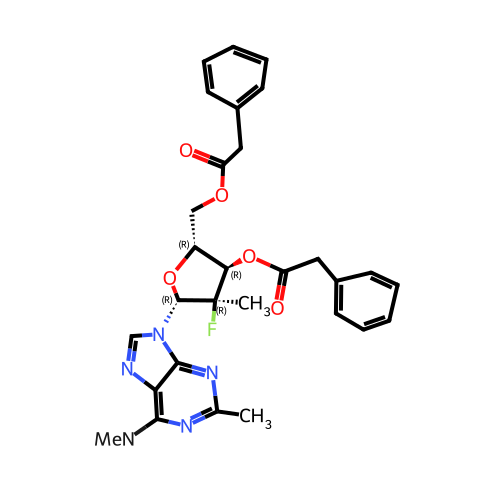 CNc1nc(C)nc2c1ncn2[C@@H]1O[C@H](COC(=O)Cc2ccccc2)[C@@H](OC(=O)Cc2ccccc2)[C@@]1(C)F